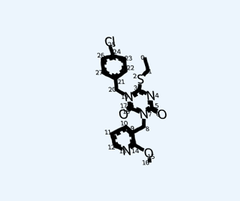 CCSc1nc(=O)n(Cc2cccnc2OC)c(=O)n1Cc1ccc(Cl)cc1